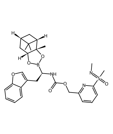 CN=S(C)(=O)c1cccc(COC(=O)N[C@@H](Cc2coc3ccccc23)B2O[C@@H]3C[C@@H]4C[C@@H](C4(C)C)[C@]3(C)O2)n1